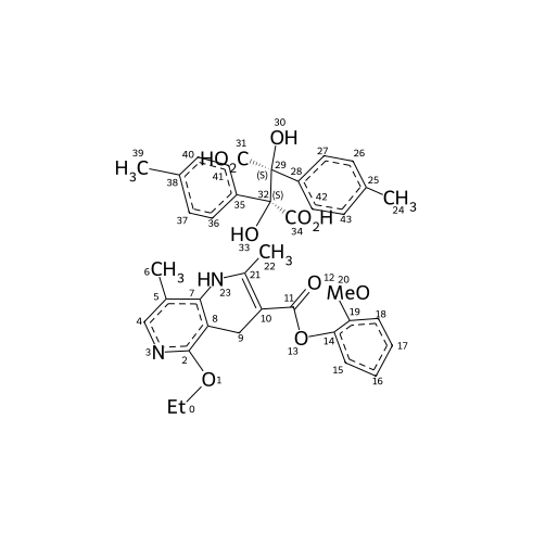 CCOc1ncc(C)c2c1CC(C(=O)Oc1ccccc1OC)=C(C)N2.Cc1ccc([C@@](O)(C(=O)O)[C@](O)(C(=O)O)c2ccc(C)cc2)cc1